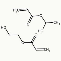 C=CC(=O)OC(C)O.C=CC(=O)OCCO